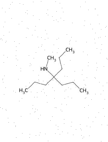 CCCC(CCC)(CCC)NC